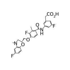 Cc1c(C(=O)Nc2cc(F)cc(CC(=O)O)c2)ccc(OC[C@@H]2CN(C)c3cc(F)ccc3O2)c1F